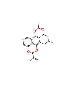 C=C(C)C(=O)Oc1c2c(c(OC(C)=O)c3ccccc13)CCC(C)C2